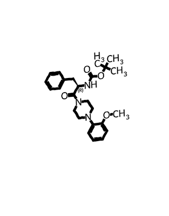 COc1ccccc1N1CCN(C(=O)[C@@H](Cc2ccccc2)NC(=O)OC(C)(C)C)CC1